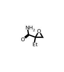 CCC1(C(N)=O)CO1